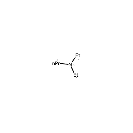 [CH2]CN(CC)CCC